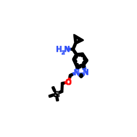 C[Si](C)(C)CCOCn1cnc2ccc(C(N)C3CC3)cc21